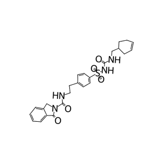 O=C(NCC1CC=CCC1)NS(=O)(=O)c1ccc(CCNC(=O)N2Cc3ccccc3C2=O)cc1